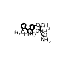 Cc1ccccc1-c1c[nH]c(=O)c2cc(O[C@H](C)C(=O)NCC(N)=O)ccc12